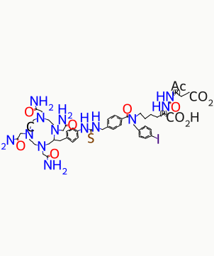 CC(=O)[C@@H](CCC(=O)O)NC(=O)N[C@H](CCCCN(Cc1ccc(I)cc1)C(=O)c1ccc(CNC(=S)Nc2ccc(CC3CN(CC(N)=O)CCN(CC(N)=O)CCN(CC(N)=O)CCN3CC(N)=O)cc2)cc1)C(=O)O